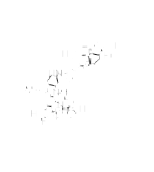 CCSC(C)(C)C(=O)C(C(=O)Nc1cc(NC(=O)CCCOc2ccc(C(C)(C)CC)cc2C(C)(C)CC)ccc1OC)N1C(=O)OC(C)(C)C1=O